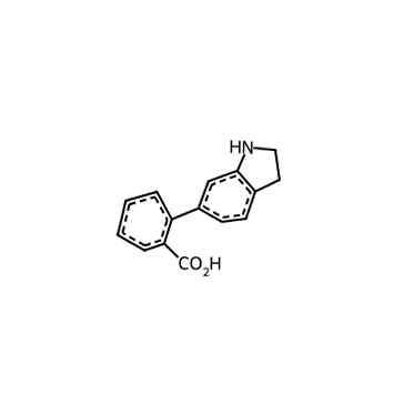 O=C(O)c1ccccc1-c1ccc2c(c1)NCC2